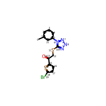 Cc1cccc(-n2nnnc2SCC(=O)c2ccc(Br)s2)c1